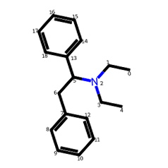 CCN(CC)C(Cc1ccccc1)c1ccccc1